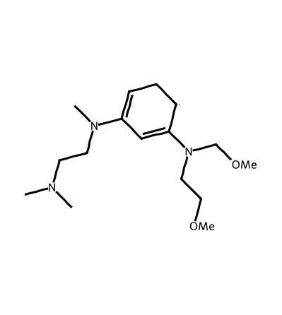 COCCN(COC)C1=CC(N(C)CCN(C)C)=CC[CH]1